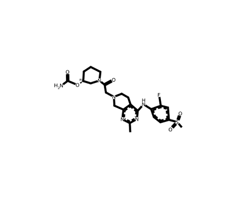 Cc1nc2c(c(Nc3ccc(S(C)(=O)=O)cc3F)n1)CCN(CC(=O)N1CCC[C@@H](OC(N)=O)C1)C2